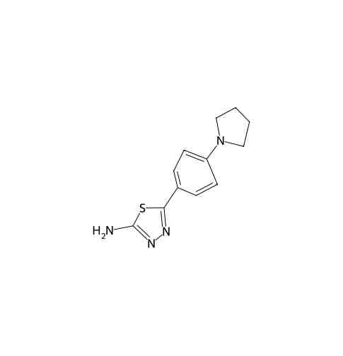 Nc1nnc(-c2ccc(N3CCCC3)cc2)s1